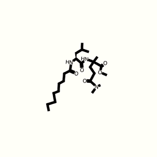 CCCCCCCCC(=O)N[C@@H](CC(C)C)C(=O)NC(C)(CCC(=O)N(C)C)C(=O)OC